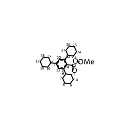 COOC(=O)c1c(C2CCCCC2)cc(C2CCCCC2)cc1C1CCCCC1